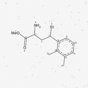 CCC(CC(N)C(=O)OC)c1cccc(C)c1C